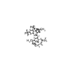 Cc1nn(C)c2nc(CN(C3CC3)C3CC3)c(CN(Cc3cc(C(F)(F)F)cc(C(F)(F)F)c3)c3nnn(C)n3)cc12